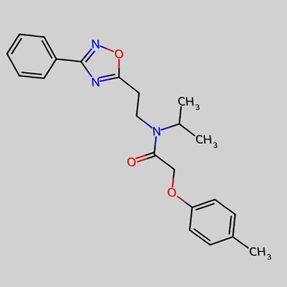 Cc1ccc(OCC(=O)N(CCc2nc(-c3ccccc3)no2)C(C)C)cc1